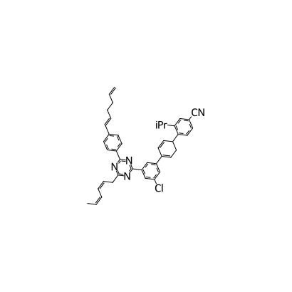 C=CCC/C=C/c1ccc(-c2nc(C/C=C\C=C/C)nc(-c3cc(Cl)cc(C4=CCC(c5ccc(C#N)cc5C(C)C)C=C4)c3)n2)cc1